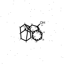 C=C1C2CC3CC1CC(C2)C3(CC(=O)O)c1ccccc1